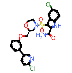 NC(=O)c1[nH]c2ccc(Cl)cc2c1S(=O)(=O)N1CCO[C@H](COc2cccc(-c3ccc(Cl)nc3)c2)C1